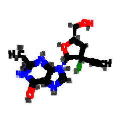 C#C[C@@]1(F)C[C@@H](CO)O[C@H]1n1cnc2c(=O)[nH]c(C)nc21